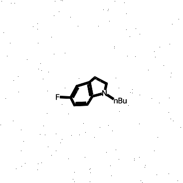 [CH2]CCCN1CCc2cc(F)ccc21